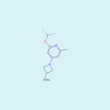 CNC1CN(c2cc(C)nc(OC(F)F)c2)C1